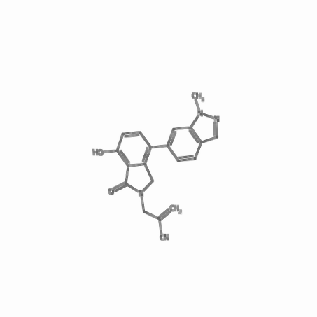 C=C(C#N)CN1Cc2c(-c3ccc4cnn(C)c4c3)ccc(O)c2C1=O